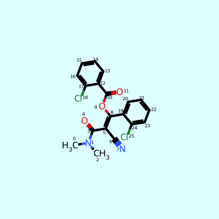 CN(C)C(=O)C(C#N)=C(OC(=O)c1ccccc1Cl)c1ccccc1Cl